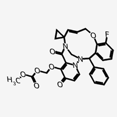 COC(=O)OCOc1c2n(ccc1=O)N1CN(C2=O)C2(/C=C/COc3c(F)cccc3C1c1ccccc1)CC2